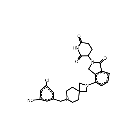 N#Cc1cc(Cl)cc(CN2CCC3(CC2)CN(c2cccc4c2CN(C2CCC(=O)NC2=O)C4=O)C3)c1